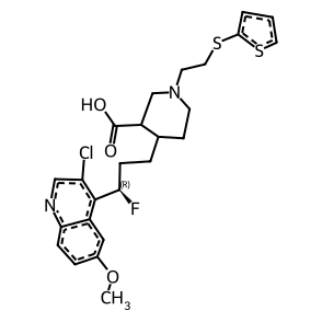 COc1ccc2ncc(Cl)c([C@H](F)CCC3CCN(CCSc4cccs4)CC3C(=O)O)c2c1